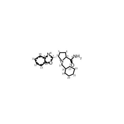 NC(=O)C1[CH]C[C@@H](c2nc3ccccc3o2)N1CC1CCCCC1